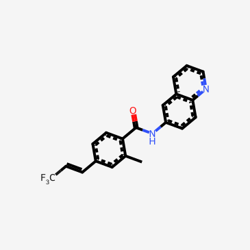 Cc1cc(C=CC(F)(F)F)ccc1C(=O)Nc1ccc2ncccc2c1